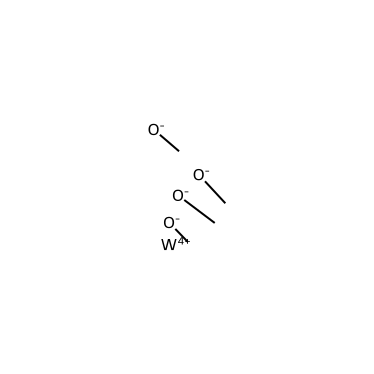 C[O-].C[O-].C[O-].C[O-].[W+4]